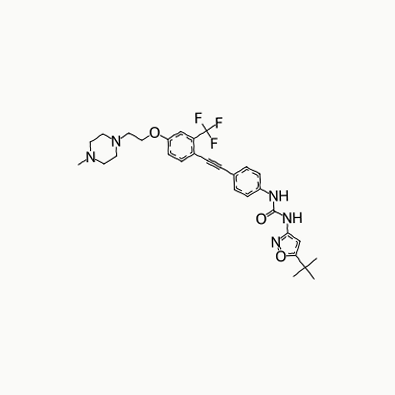 CN1CCN(CCOc2ccc(C#Cc3ccc(NC(=O)Nc4cc(C(C)(C)C)on4)cc3)c(C(F)(F)F)c2)CC1